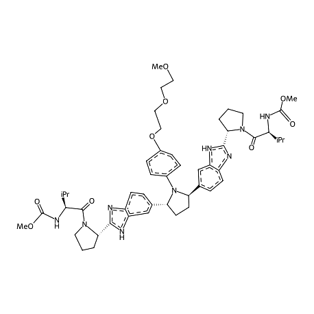 COCCOCCOc1ccc(N2[C@@H](c3ccc4nc([C@@H]5CCCN5C(=O)[C@@H](NC(=O)OC)C(C)C)[nH]c4c3)CC[C@@H]2c2ccc3nc([C@@H]4CCCN4C(=O)[C@@H](NC(=O)OC)C(C)C)[nH]c3c2)cc1